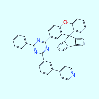 c1ccc(-c2nc(-c3cccc(-c4ccncc4)c3)nc(-c3ccc4c(c3)C3(c5ccccc5O4)c4ccccc4-c4ccccc43)n2)cc1